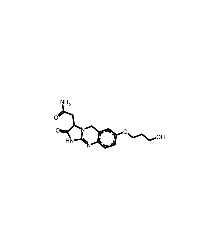 NC(=O)CC1C(=O)NC2=Nc3ccc(OCCCO)cc3CN21